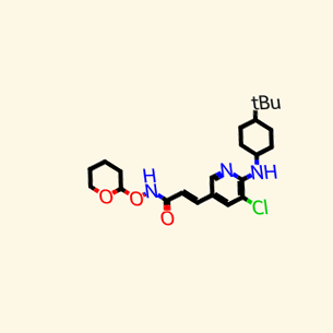 CC(C)(C)C1CCC(Nc2ncc(C=CC(=O)NOC3CCCCO3)cc2Cl)CC1